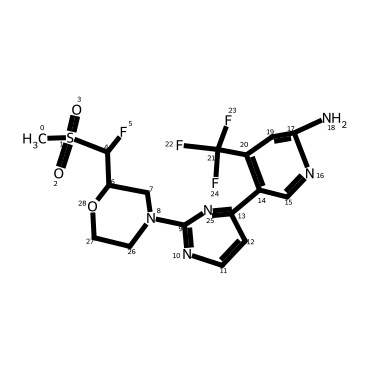 CS(=O)(=O)C(F)C1CN(c2nccc(-c3cnc(N)cc3C(F)(F)F)n2)CCO1